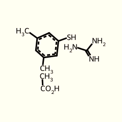 CC(=O)O.Cc1cc(C)cc(S)c1.N=C(N)N